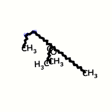 CCCCC/C=C\C/C=C\CCCCCCCCC(CCCCCCCCCCCCCCCCCC)OC(=O)CCCN(C)C